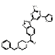 Nc1nc(-c2ccco2)cc(-n2nnc3cc(C(=O)N4CCN(Cc5ccccc5)CC4)ccc32)n1